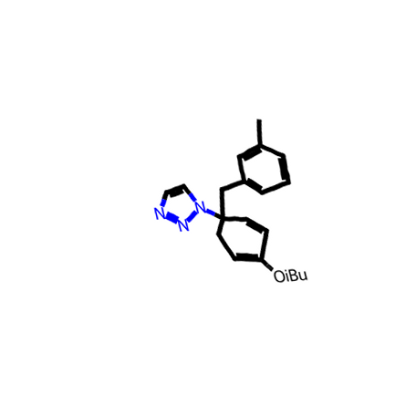 Cc1cccc(CC2(n3ccnn3)C=CC(OCC(C)C)=CC2)c1